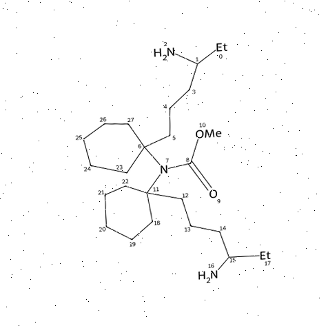 CCC(N)CCCC1(N(C(=O)OC)C2(CCCC(N)CC)CCCCC2)CCCCC1